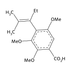 CCC(=C(C)C)c1c(OC)cc(C(=O)O)c(OC)c1OC